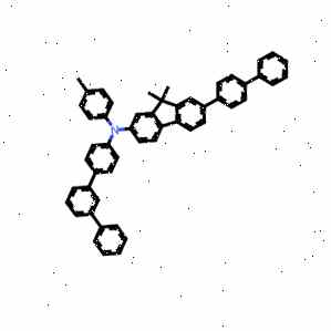 Cc1ccc(N(c2ccc(-c3cccc(-c4ccccc4)c3)cc2)c2ccc3c(c2)C(C)(C)c2cc(-c4ccc(-c5ccccc5)cc4)ccc2-3)cc1